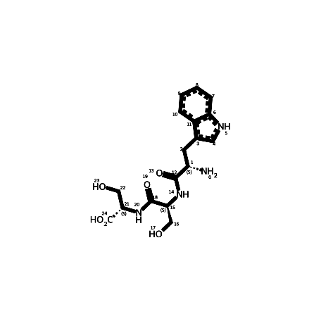 N[C@@H](Cc1c[nH]c2ccccc12)C(=O)N[C@@H](CO)C(=O)N[C@@H](CO)C(=O)O